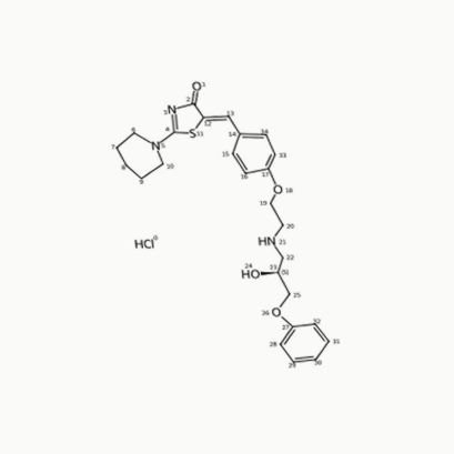 Cl.O=C1N=C(N2CCCCC2)SC1=Cc1ccc(OCCNC[C@H](O)COc2ccccc2)cc1